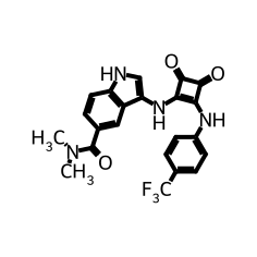 CN(C)C(=O)c1ccc2[nH]cc(Nc3c(Nc4ccc(C(F)(F)F)cc4)c(=O)c3=O)c2c1